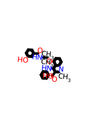 Cc1nc2cccc(OCC(C)(C)NC(=O)c3cccc(O)c3)c2c(Nc2ccccc2)c1C(=O)O